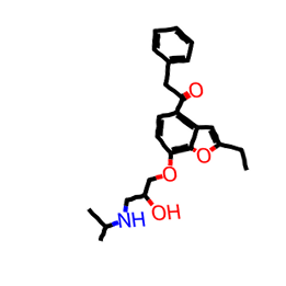 CCc1cc2c(C(=O)Cc3ccccc3)ccc(OCC(O)CNC(C)C)c2o1